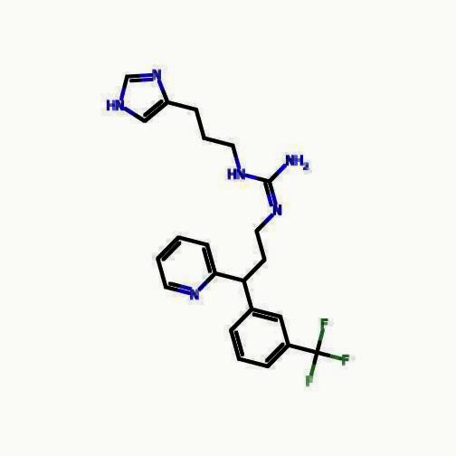 NC(=NCCC(c1cccc(C(F)(F)F)c1)c1ccccn1)NCCCc1c[nH]cn1